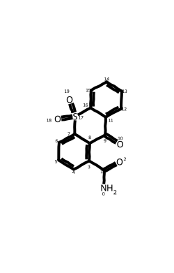 NC(=O)c1cccc2c1C(=O)c1ccccc1S2(=O)=O